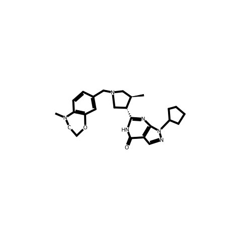 C[C@@H]1CN(Cc2ccc3c(c2)OCCN3C)C[C@H]1c1nc2c(cnn2C2CCCC2)c(=O)[nH]1